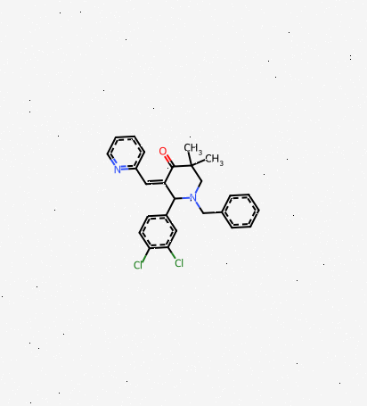 CC1(C)CN(Cc2ccccc2)C(c2ccc(Cl)c(Cl)c2)C(=Cc2ccccn2)C1=O